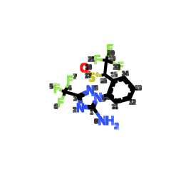 Nc1nc(C(F)(F)F)nn1-c1ccccc1C([S+]=O)C(F)(F)F